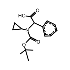 CC(C)(C)OC(=O)N(C1CC1)C(C(=O)O)c1ccccc1